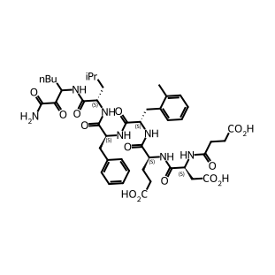 CCCCC(NC(=O)[C@H](CC(C)C)NC(=O)[C@H](Cc1ccccc1)NC(=O)[C@H](Cc1ccccc1C)NC(=O)[C@H](CCC(=O)O)NC(=O)[C@H](CC(=O)O)NC(=O)CCC(=O)O)C(=O)C(N)=O